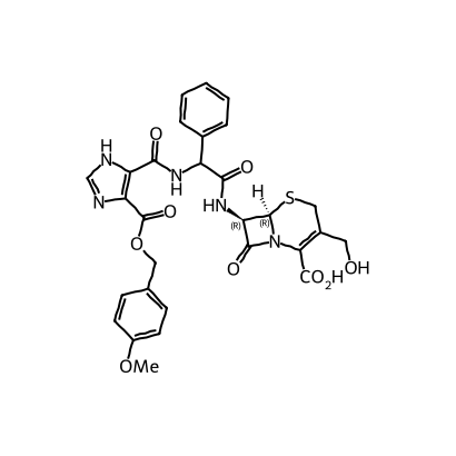 COc1ccc(COC(=O)c2nc[nH]c2C(=O)NC(C(=O)N[C@@H]2C(=O)N3C(C(=O)O)=C(CO)CS[C@H]23)c2ccccc2)cc1